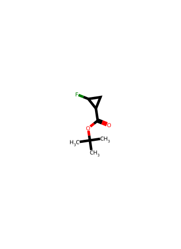 CC(C)(C)OC(=O)C1CC1F